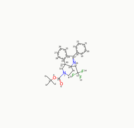 CC(C)(C)OC(=O)N1CCC2(CC(F)(F)F)N=C(c3ccccc3)c3ccccc3C2(C)C1